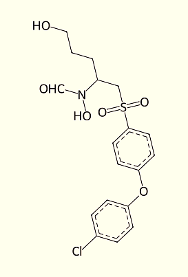 O=CN(O)C(CCCO)CS(=O)(=O)c1ccc(Oc2ccc(Cl)cc2)cc1